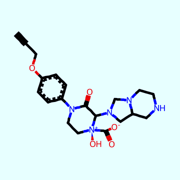 C#CCOc1ccc(N2CC[N@@+](O)(C(=O)[O-])C(N3CC4CNCCN4C3)C2=O)cc1